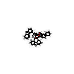 c1ccc(-c2ccc(-c3nc(-c4cccc5sc6ccccc6c45)nc(-c4cccc5oc6cccc(-c7cccc8sc9ccccc9c78)c6c45)n3)cc2)cc1